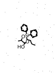 CCCC[Si](OC(C)C(=O)O)(c1ccccc1)c1ccccc1